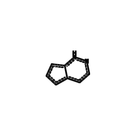 c1cc2ccn[nH]c-2c1